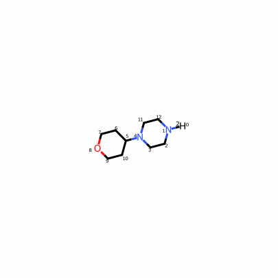 [2H]N1CCN(C2CCOCC2)CC1